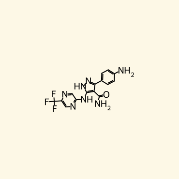 NC(=O)c1c(-c2ccc(N)cc2)n[nH]c1Nc1cnc(C(F)(F)F)cn1